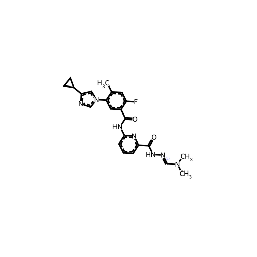 Cc1cc(F)c(C(=O)Nc2cccc(C(=O)N/N=C/N(C)C)n2)cc1-n1cnc(C2CC2)c1